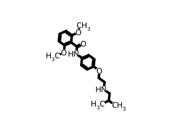 COc1cccc(OC)c1C(=O)Nc1ccc(OCCNCC(C)C)cc1